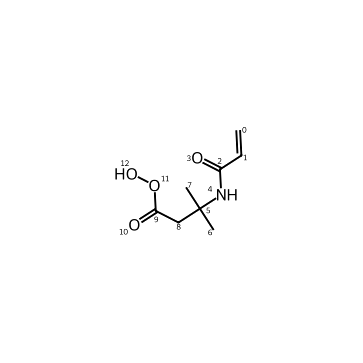 C=CC(=O)NC(C)(C)CC(=O)OO